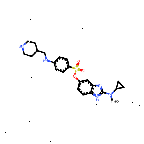 O=CN(c1nc2cc(OS(=O)(=O)c3ccc(NCC4CCNCC4)cc3)ccc2[nH]1)C1CC1